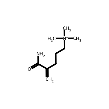 C=C(CCC[N+](C)(C)C)C(N)=O